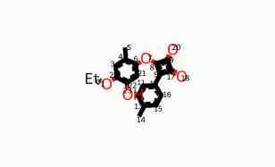 CCOc1cc(C)c(Oc2c(-c3ccc(C)cc3)c(=O)c2=O)cc1O